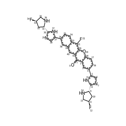 O=c1c2cc(-c3cnc([C@@H]4C[C@@H](F)CN4)[nH]3)ccc2oc2c(F)c3ccc(-c4cnc([C@@H]5C[C@@H](F)CN5)[nH]4)cc3cc12